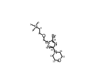 C[Si](C)(C)CCOCn1nc(N2CCOCC2)nc1Br